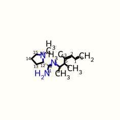 C=C/C=C(/C)C(C)C(C)/N=C(\N)[C@@H]1CCCN1C